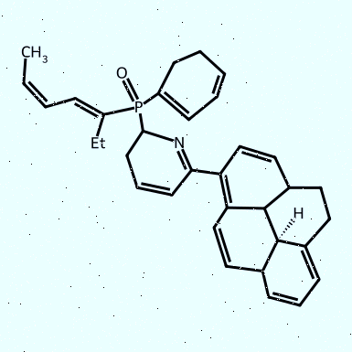 C/C=C\C=C(/CC)P(=O)(C1=CC=CCC1)C1CC=CC(C2=C3C=CC4C=CC=C5CCC(C=C2)C3[C@@H]54)=N1